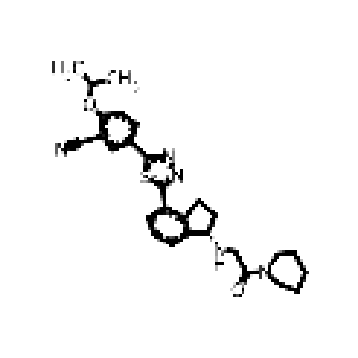 CC(C)Oc1ccc(-c2nnc(-c3cccc4c3CC[C@@H]4NCC(=O)N3CCCCC3)s2)cc1C#N